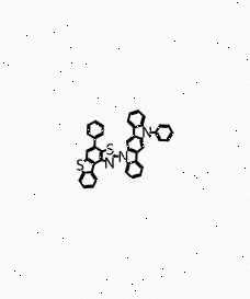 c1ccc(-c2cc3sc4ccccc4c3c3nc(-n4c5ccccc5c5cc6c(cc54)c4ccccc4n6-c4ccccc4)sc23)cc1